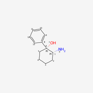 N[C@@H]1CCCC[C@@]1(O)c1ccccc1